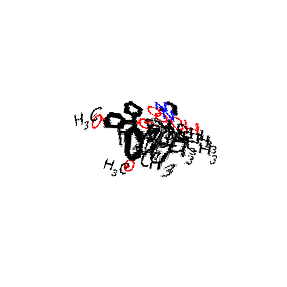 COc1ccc(C(OC[C@H]2OC(O)(n3cccnc3=O)C([Si](C)(C)C(C)(C)C)[C@@H]2[Si](C)(C)C(C)(C)C)(c2ccccc2)c2ccc(OC)cc2)cc1